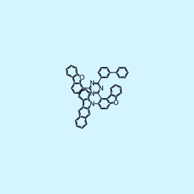 c1ccc(-c2cccc(-c3nc(-c4cccc5c4oc4ccccc45)nc(-c4c(-n5c6ccccc6c6cc7ccccc7cc65)ccc5oc6ccccc6c45)n3)c2)cc1